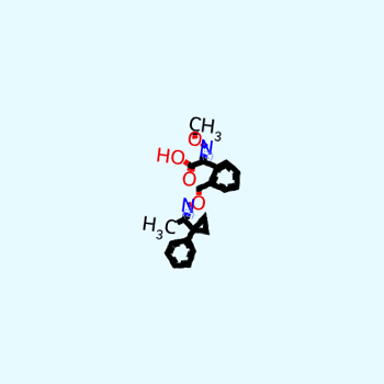 CO/N=C(\C(=O)O)c1ccccc1CO/N=C(/C)C1(c2ccccc2)CC1